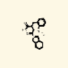 COc1ccccc1CC(CC(=O)N1CC2CCCCC2C1)C(=O)O